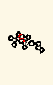 c1ccc(-c2c(-c3ccccc3)c3cc(-c4ccccc4N(c4ccc(-c5cccc6c5ccc5ccccc56)cc4)c4cc5ccccc5c5ccccc45)ccc3c3ccccc23)cc1